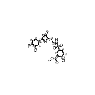 COC(=O)c1cc(S(=O)(=O)NCCc2nc(-c3ccc(F)c(Cl)c3)sc2C)ccc1Cl